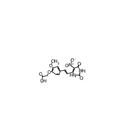 COc1cc(C=Cc2[nH]c(=O)[nH]c(=O)c2[N+](=O)[O-])ccc1OCC(=O)O